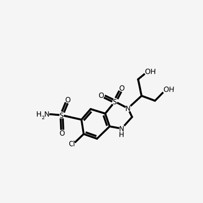 NS(=O)(=O)c1cc2c(cc1Cl)NCN(C(CO)CO)S2(=O)=O